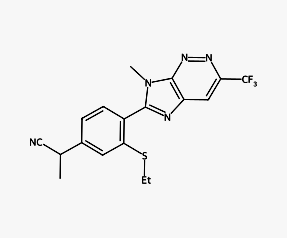 CCSc1cc(C(C)C#N)ccc1-c1nc2cc(C(F)(F)F)nnc2n1C